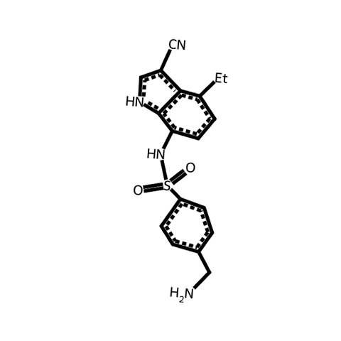 CCc1ccc(NS(=O)(=O)c2ccc(CN)cc2)c2[nH]cc(C#N)c12